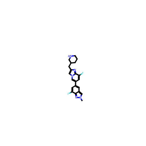 Cn1cc2cc(-c3cc(F)c4nc(CC5CCCNC5)cn4c3)cc(F)c2n1